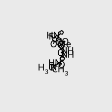 COc1cc(F)c2[nH]c(C3CCCC3)c(C=C3Oc4ccc(NC(=O)Nc5ccc(C(=O)NCCN(C)C)cc5)cc4C3=O)c2c1